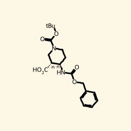 CC(C)(C)OC(=O)N1CC[C@@H](NC(=O)OCc2ccccc2)[C@H](C(=O)O)C1